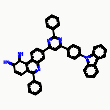 N=C1C=Cc2c(-c3ccccc3)nc3cc(-c4cc(-c5ccc(-n6c7ccccc7c7ccccc76)cc5)nc(-c5ccccc5)n4)ccc3c2C1=N